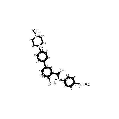 CC(=O)Nc1ccc(NC(=O)c2cc(-c3ccc(N4CCN(C)CC4)cc3)cnc2N)cc1